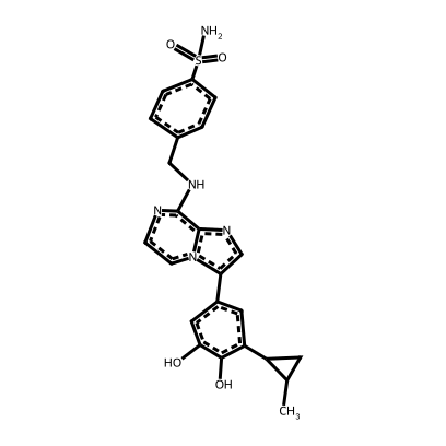 CC1CC1c1cc(-c2cnc3c(NCc4ccc(S(N)(=O)=O)cc4)nccn23)cc(O)c1O